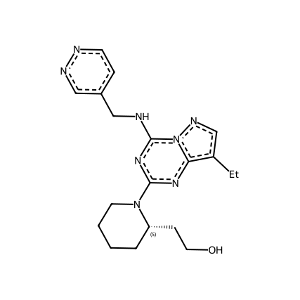 CCc1cnn2c(NCc3ccnnc3)nc(N3CCCC[C@H]3CCO)nc12